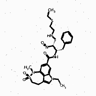 CCSCCNC[C@@H](N=O)[C@H](Cc1ccccc1)NC(=O)c1cc2c3c(cn(CC)c3c1)CCS(=O)(=O)N2C